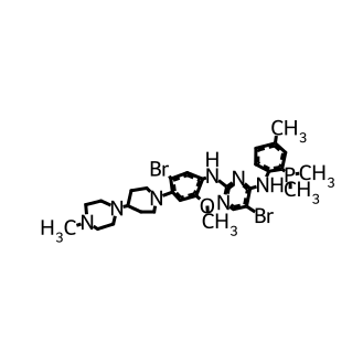 COc1cc(N2CCC(N3CCN(C)CC3)CC2)c(Br)cc1Nc1ncc(Br)c(Nc2ccc(C)cc2P(C)C)n1